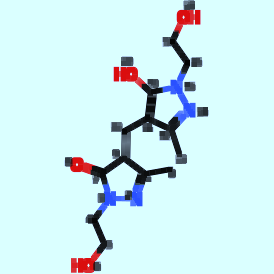 CC1=NN(CCO)C(=O)C1=Cc1c(C)nn(CCO)c1O